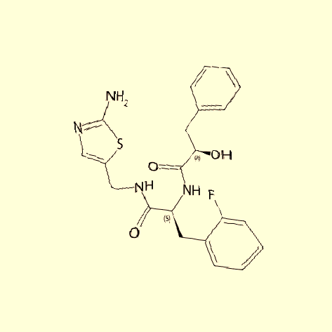 Nc1ncc(CNC(=O)[C@H](Cc2ccccc2F)NC(=O)[C@H](O)Cc2ccccc2)s1